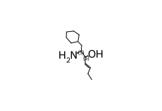 CCC=C[C@H](O)[C@@H](N)CC1CCCCC1